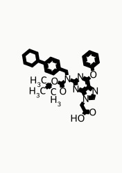 CC(C)(C)OC(=O)N(Cc1ccc(C2CCCCC2)cc1)c1nc(Oc2ccccc2)c2ncn(CC(=O)O)c2n1